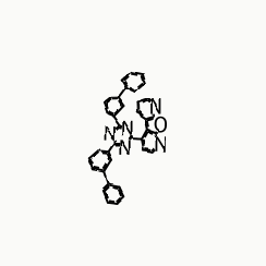 c1ccc(-c2cccc(-c3nc(-c4cccc(-c5ccccc5)c4)nc(-c4ccnc5oc6ncccc6c45)n3)c2)cc1